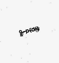 CCC(CC)(c1ccc(C#CC2(O[Si](C)(C)C)CCCC2)c(C)c1)c1ccc(B2OC(C)(C)C(C)(C)O2)c(C)c1